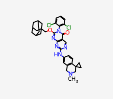 CN1Cc2cc(Nc3ncc4c(=O)n(-c5c(Cl)cccc5Cl)c(OCC56CC7CC(CC(C7)C5)C6)nc4n3)ccc2C2(CC2)C1